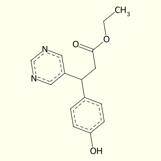 CCOC(=O)CC(c1ccc(O)cc1)c1cncnc1